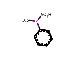 O=S(=O)(O)P(c1ccccc1)S(=O)(=O)O